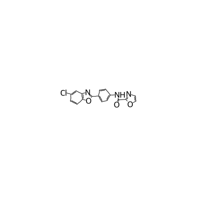 O=C(Nc1ccc(-c2nc3cc(Cl)ccc3o2)cc1)c1ncco1